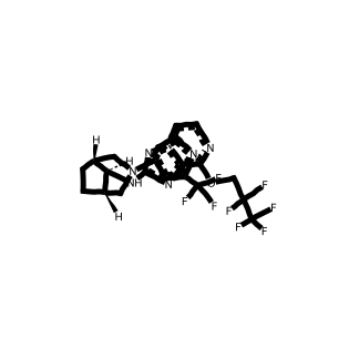 FC(F)(F)c1cc(N2C[C@H]3CC[C@@H](C2)[C@@H]3Nc2nc3c(OCC(F)(F)C(F)(F)F)nccn3n2)ccn1